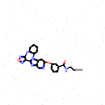 COCCNC(=O)c1cccc(Oc2cc3c(cn2)nc(-c2nonc2N)n3-c2ccccc2)c1